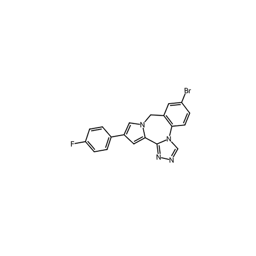 Fc1ccc(-c2cc3n(c2)Cc2cc(Br)ccc2-n2cnnc2-3)cc1